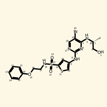 C[C@H](CO)Nc1nc(Nc2csc(S(=O)(=O)NCCOc3ccccc3)c2)ncc1Br